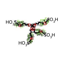 O=S(=O)(O)C(F)(F)C(F)(F)OC(F)(F)C(F)(F)CCCOCC(COCCCC(F)(F)C(F)(F)OC(F)(F)C(F)(F)S(=O)(=O)O)(COCCCC(F)(F)C(F)(F)OC(F)(F)C(F)(F)S(=O)(=O)O)COCCCC(F)(F)C(F)(F)OC(F)(F)C(F)(F)S(=O)(=O)O